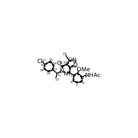 COc1c(NC(C)=O)cccc1-c1nn(C(C)c2ccc(Cl)cc2)c(=O)c2c(C)noc12